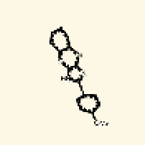 COc1ccc(-c2nc3nc4ccccc4nc3[nH]2)cc1